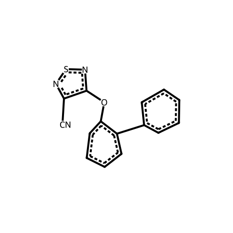 N#Cc1nsnc1Oc1ccccc1-c1ccccc1